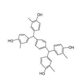 Cc1cc(C(c2ccc(C(c3ccc(O)c(C)c3)c3ccc(O)c(C)c3)cc2)c2ccc(O)c(C)c2)ccc1O